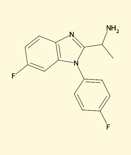 CC(N)c1nc2ccc(F)cc2n1-c1ccc(F)cc1